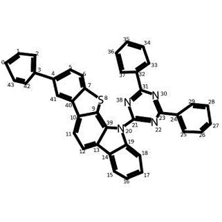 c1ccc(-c2ccc3sc4c(ccc5c6ccccc6n(-c6nc(-c7ccccc7)nc(-c7ccccc7)n6)c54)c3c2)cc1